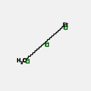 CCC(Cl)CCCCCCCCCCCCCCCCCC(Cl)CCCCCCCCCCCCCCCCCC(C)Cl